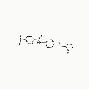 O=C(Nc1ccc(CCC2CCCN2)cc1)c1ccc(C(F)(F)F)cc1